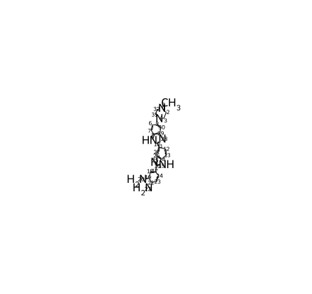 CN1CCN(c2ccc3[nH]c(-c4ccc5[nH]c(C6=CC(N)C(N)C=C6)nc5c4)nc3c2)CC1